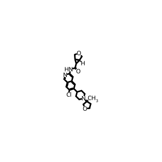 C[C@@]1(N2CCC(c3cc4cc(NC(=O)C5C6COC[C@@H]65)ncc4cc3Cl)CC2)CCOC1